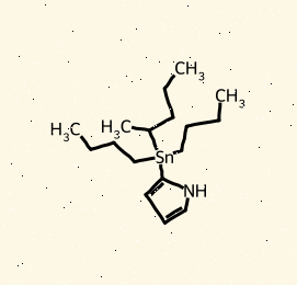 CCC[CH2][Sn]([CH2]CCC)([c]1ccc[nH]1)[CH](C)CCC